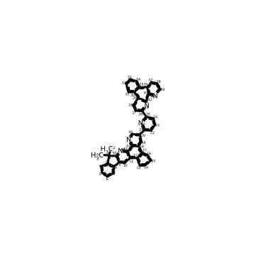 CC1(C)c2ccccc2-c2cc3c4ccccc4c4cc(-c5cccc(-c6ccc7c8ccccc8c8cccnc8c7n6)n5)cnc4c3nc21